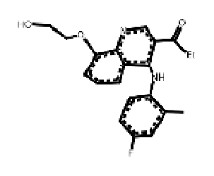 CCC(=O)c1cnc2c(OCCO)cccc2c1Nc1ccc(F)cc1C